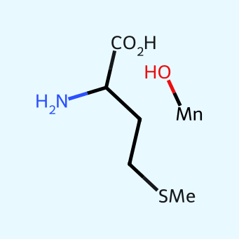 CSCCC(N)C(=O)O.[OH][Mn]